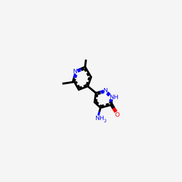 Cc1cc(-c2cc(N)c(=O)[nH]n2)cc(C)n1